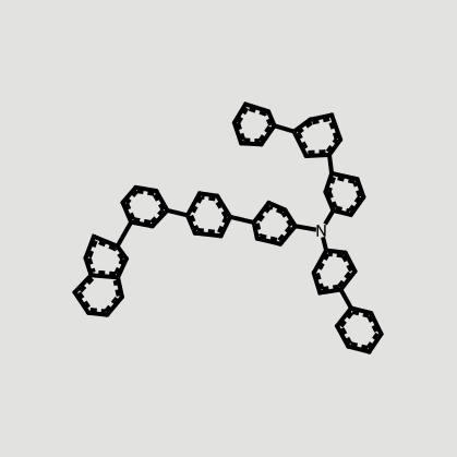 c1ccc(-c2ccc(N(c3ccc(-c4ccc(-c5cccc(-c6ccc7ccccc7c6)c5)cc4)cc3)c3cccc(-c4cccc(-c5ccccc5)c4)c3)cc2)cc1